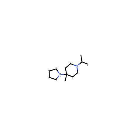 CC(C)N1CCC(C)(N2CCCC2)CC1